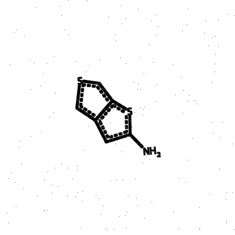 Nc1cc2cscc2s1